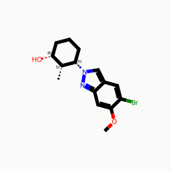 COc1cc2nn([C@H]3CCC[C@@H](O)[C@H]3C)cc2cc1Br